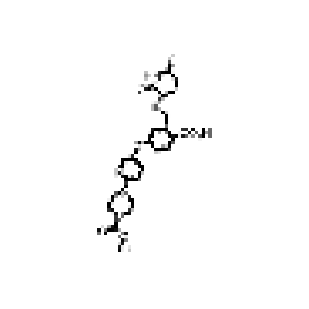 CC(C)(C)OC(=O)N1CCN(c2ccc(Oc3ccc(C(=O)O)c(CNC4CCC(=O)NC4=O)c3)cn2)CC1